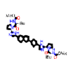 CC[C@H](C)[C@H](NC(=O)OC)C(=O)N1CCC[C@H]1c1ncc(-c2ccc(-c3ccc4cc(-c5cnc([C@@H]6CCCN6C(=O)[C@@H](NC(=O)OC)[C@@H](C)CC)[nH]5)ccc4c3)cc2)[nH]1